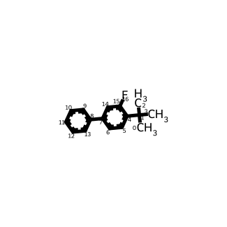 CC(C)(C)c1ccc(-c2ccccc2)cc1F